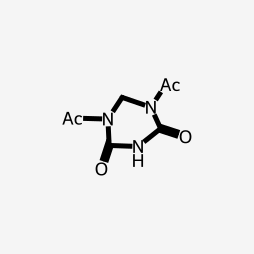 CC(=O)N1CN(C(C)=O)C(=O)NC1=O